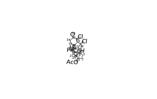 CC(=O)O[C@H]1CC[C@H]2[C@@H]3C=C(Cl)C4=C(Cl)C(=O)CC[C@]4(C)[C@H]3[C@@H](F)C[C@]12C